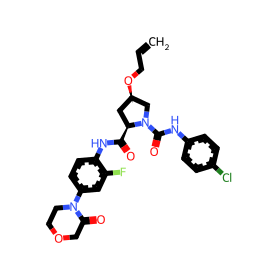 C=CCO[C@@H]1C[C@H](C(=O)Nc2ccc(N3CCOCC3=O)cc2F)N(C(=O)Nc2ccc(Cl)cc2)C1